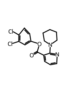 O=C(Oc1ccc(Cl)c(Cl)c1)c1cccnc1N1CCCCC1